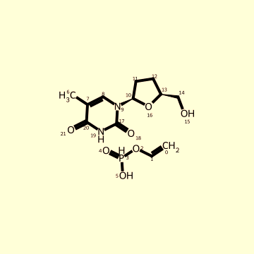 C=CO[PH](=O)O.Cc1cn([C@H]2CC[C@@H](CO)O2)c(=O)[nH]c1=O